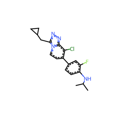 CC(C)Nc1ccc(-c2ccn3c(CC4CC4)nnc3c2Cl)cc1F